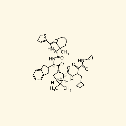 CC1([C@H](NC(=O)C2=CCCS2)C(=O)N[C@H](C(=O)N2C[C@H]3[C@@H]([C@H]2C(=O)NC(CC2CCC2)C(=O)C(=O)NC2CC2)C3(C)C)C2Cc3ccccc3C2)CCCCC1